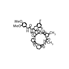 COc1ccc(NC(=O)N[C@@H](Cc2cc(F)cc(F)c2)C(=O)N[C@@H]2C(=O)N3CCC[C@H]3C(=O)N3CCCC[C@H]3C(=O)N[C@@H](C)C(=O)N3C[C@H](C)C[C@H]3C(=O)O[C@H]2C)cc1OC